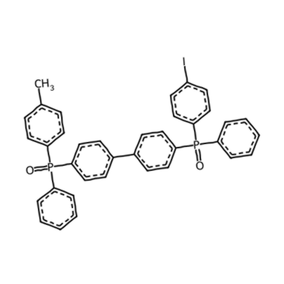 Cc1ccc(P(=O)(c2ccccc2)c2ccc(-c3ccc(P(=O)(c4ccccc4)c4ccc(I)cc4)cc3)cc2)cc1